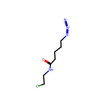 [N-]=[N+]=NCCCCC(=O)NCCCl